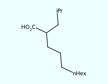 CCCCCCCCCC(CC(C)C)C(=O)O